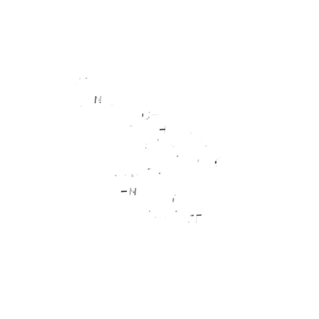 O=c1[nH]c2ccc(C(F)(F)F)cc2c(-c2cc(Cl)ccc2O)c1SCC(O)CCN1CCCCC1